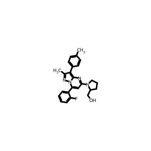 Cc1ccc(-c2c(C)nn3c(-c4ccccc4F)cc(N4CCCC4CO)nc23)cc1